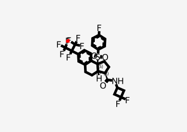 O=C(NC1CC(F)(F)C1)[C@@H]1CC[C@@]2(S(=O)(=O)c3ccc(F)cc3)c3ccc(C(F)(C(F)(F)F)C(F)(F)F)cc3CC[C@@H]12